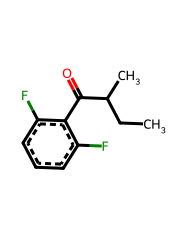 CCC(C)C(=O)c1c(F)cccc1F